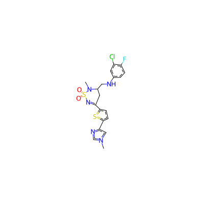 CN1C(CNc2ccc(F)c(Cl)c2)CC(c2ccc(-c3cn(C)cn3)s2)=NS1(=O)=O